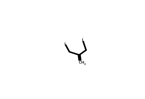 C=C(CI)CI